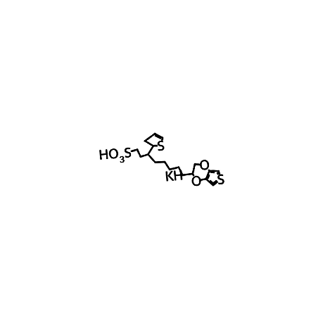 O=S(=O)(O)CCC(CCCCCC1COc2cscc2O1)C1CC=CS1.[KH]